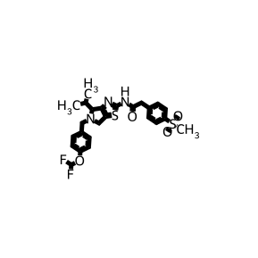 CC(C)C1c2nc(NC(=O)Cc3ccc(S(C)(=O)=O)cc3)sc2CN1Cc1ccc(OC(F)F)cc1